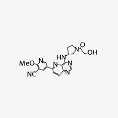 COc1ncc(-c2ccc3ncnc(N[C@H]4CCN(C(=O)CO)C4)c3n2)cc1C#N